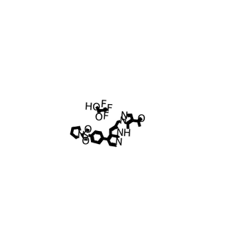 CC(=O)c1cnn(Cc2cc3c(-c4ccc(S(=O)(=O)N5CCCC5)cc4)ccnc3[nH]2)c1C.O=C(O)C(F)(F)F